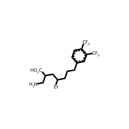 CCC(CCCc1ccc(C(F)(F)F)c(C(F)(F)F)c1)CC(CN)C(=O)O